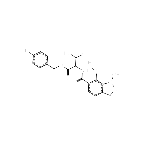 COc1c(C(=O)NC(C(=O)OCc2ccc(F)cc2)C(C)C)ccc2c1B(O)OC2